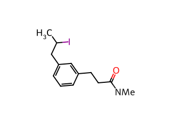 CNC(=O)CCc1cccc(CC(C)I)c1